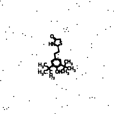 CC(C)(C)c1cc(CC[C@H]2NC(=O)CS2)cc(C(C)(C)C)c1O